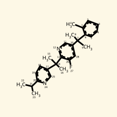 Cc1ccccc1C(C)(C)c1cnc(C(C)(C)c2ccc(C(C)C)nc2)c(F)c1